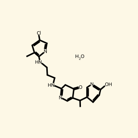 Cc1cc(Cl)cnc1NCCCNC1=NC=C(C(C)c2ccc(O)nc2)C(=O)C1.O